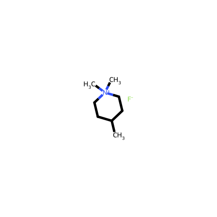 CC1CC[N+](C)(C)CC1.[F-]